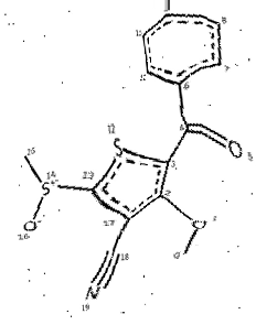 COc1c(C(=O)c2ccccc2)sc([S+](C)[O-])c1C#N